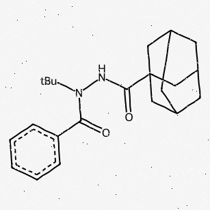 CC(C)(C)N(NC(=O)C12CC3CC(CC(C3)C1)C2)C(=O)c1ccccc1